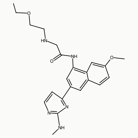 CCOCCNCC(=O)Nc1cc(-c2ccnc(NC)n2)cc2ccc(OC)cc12